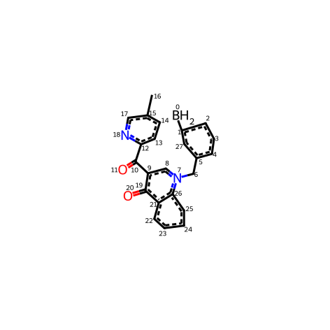 Bc1cccc(Cn2cc(C(=O)c3ccc(C)cn3)c(=O)c3ccccc32)c1